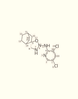 Clc1cnc(NN2NC[C@]3(CC4CCC3CC4)O2)c(Cl)c1